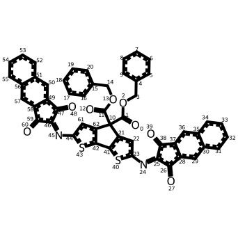 O=C(OCc1ccccc1)C1(C(=O)OCc2ccccc2)c2cc(N=c3c(=O)c4cc5ccccc5cc4c3=O)sc2-c2sc(N=c3c(=O)c4cc5ccccc5cc4c3=O)cc21